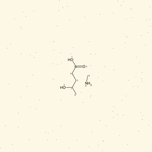 CC(O)CCC(=O)O.CN